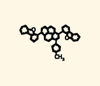 Cc1ccc(-c2cc(-c3cccc4c3oc3ccccc34)c3ccc4ccc(-c5cccc6c5oc5ccccc56)c5ccc2c3c45)cc1